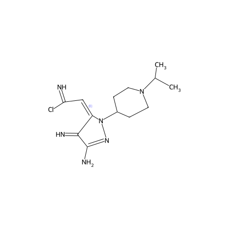 CC(C)N1CCC(N2N=C(N)C(=N)/C2=C\C(=N)Cl)CC1